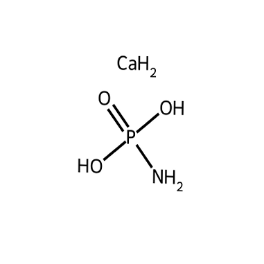 NP(=O)(O)O.[CaH2]